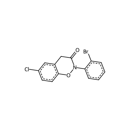 O=C1Cc2cc(Cl)ccc2ON1c1ccccc1Br